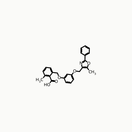 Cc1cccc(COc2cccc(OCc3nc(-c4ccccc4)oc3C)c2)c1C(=O)O